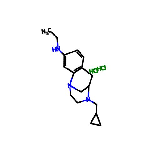 CCNc1ccc2c(c1)N1CCN(CC3CC3)C(C2)C1.Cl.Cl